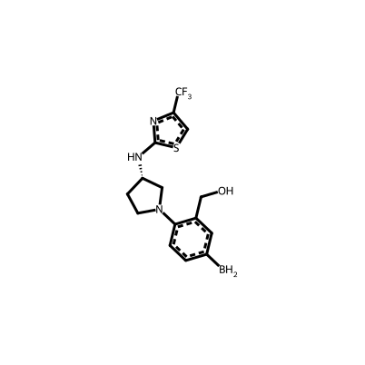 Bc1ccc(N2CC[C@H](Nc3nc(C(F)(F)F)cs3)C2)c(CO)c1